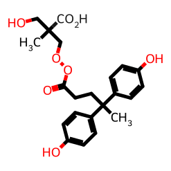 CC(CO)(COOC(=O)CCC(C)(c1ccc(O)cc1)c1ccc(O)cc1)C(=O)O